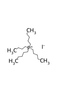 CCCCC[P+](CCCC)(CCCCC)CCCCC.[I-]